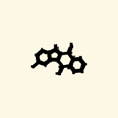 Cc1ccc2[nH]c3c(c2c1)C(=O)c1ccccc1C3=O